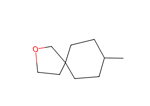 CC1CCC2(CCOC2)CC1